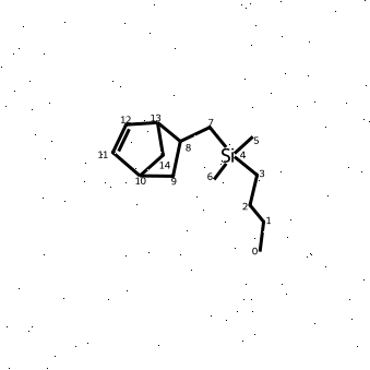 CCCC[Si](C)(C)CC1CC2C=CC1C2